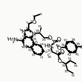 CCOCc1nc2c(N)nc3ccccc3c2n1[C@@H](C)COP(=O)(N[C@@H](C)C(=O)OC(CC)CC)Oc1ccc(Cl)cc1